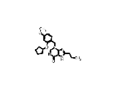 CCCc1nc2c([nH]1)C(=O)NCN2Cc1ccc(OC)cc1OC1CCCC1